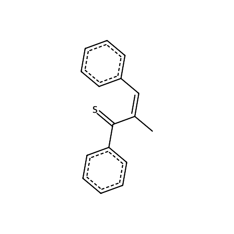 CC(=Cc1ccccc1)C(=S)c1ccccc1